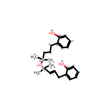 C[Si](C)(/C=C/Cc1ccccc1O)O[Si](C)(C)CCCc1ccccc1O